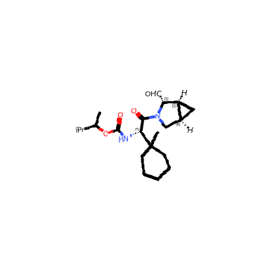 CC(C)C(C)OC(=O)N[C@H](C(=O)N1C[C@@H]2C[C@@H]2[C@H]1C=O)C1(C)CCCCC1